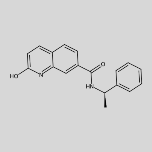 C[C@@H](NC(=O)c1ccc2ccc(O)nc2c1)c1ccccc1